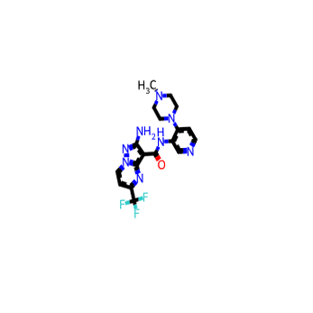 CN1CCN(c2ccncc2NC(=O)c2c(N)nn3ccc(C(F)(F)F)nc23)CC1